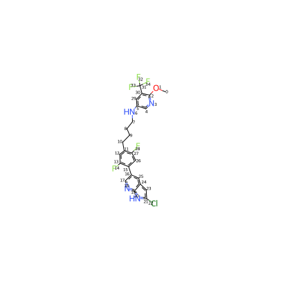 COc1ncc(NCCCCc2cc(F)c(-c3cnc4[nH]c(Cl)cc4c3)cc2F)cc1C(F)(F)F